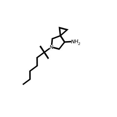 CCCCCC(C)(C)N1CC(N)C2(CC2)C1